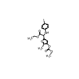 CCOC(=O)C(Nc1ccc(I)cc1)c1cc(OC(=O)OC)c(C)o1